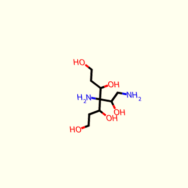 NCC(O)C(N)(C(O)CCO)C(O)CCO